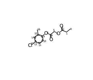 CCC(=O)OCC(=O)Oc1ccc(Cl)cc1C